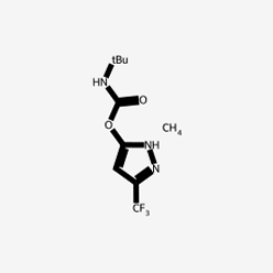 C.CC(C)(C)NC(=O)Oc1cc(C(F)(F)F)n[nH]1